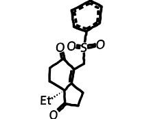 CC[C@]12CCC(=O)C(CS(=O)(=O)c3ccccc3)=C1CCC2=O